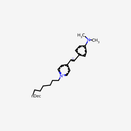 CCCCCCCCCCCCCCCC[n+]1ccc(/C=C/c2ccc(N(C)C)cc2)cc1